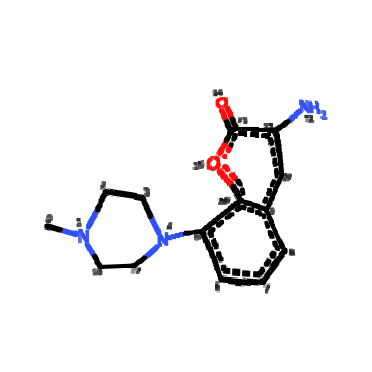 CN1CCN(c2cccc3cc(N)c(=O)oc23)CC1